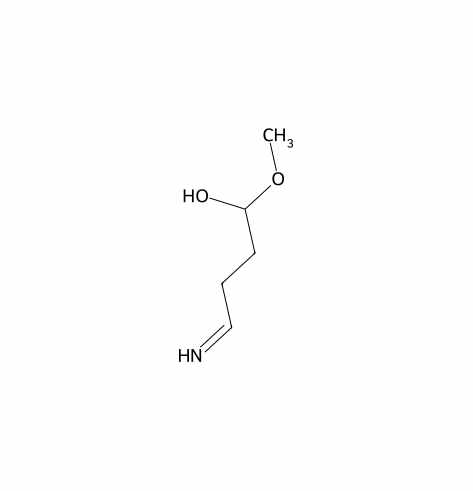 COC(O)CCC=N